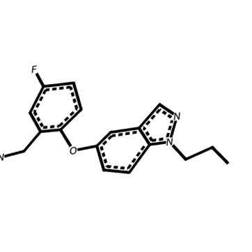 CCCn1ncc2cc(Oc3ccc(F)cc3CN)ccc21